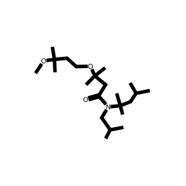 COC(C)(C)CCOC(C)(C)CC(=O)N(CC(C)C)C(C)(C)CC(C)C